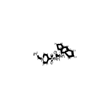 CC(C)CN1CCC(S(=O)(=O)NC(=O)Nc2c3c(cc4c2CCC4)CCC3)CC1